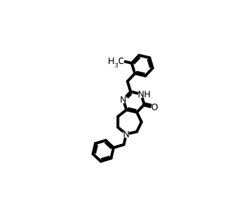 Cc1ccccc1Cc1nc2c(c(=O)[nH]1)CCN(Cc1ccccc1)CC2